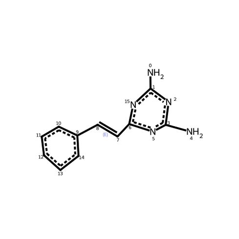 Nc1nc(N)nc(/C=C/c2ccccc2)n1